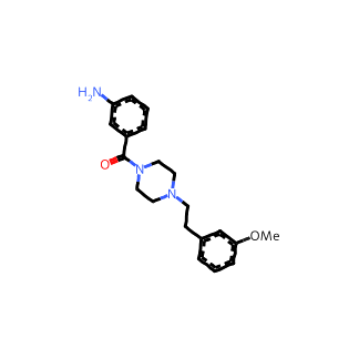 COc1cccc(CCN2CCN(C(=O)c3cccc(N)c3)CC2)c1